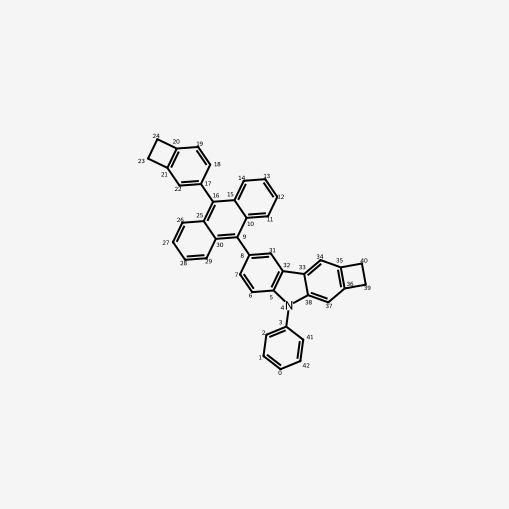 c1ccc(-n2c3ccc(-c4c5ccccc5c(-c5ccc6c(c5)CC6)c5ccccc45)cc3c3cc4c(cc32)CC4)cc1